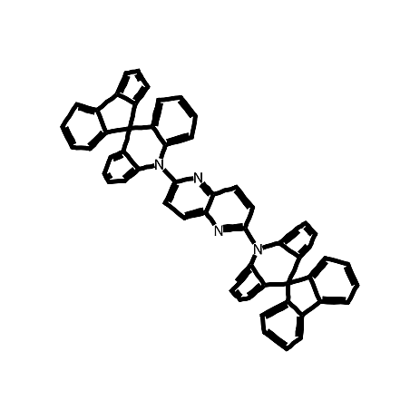 c1ccc2c(c1)-c1ccccc1C21c2ccccc2N(c2ccc3nc(N4c5ccccc5C5(c6ccccc6-c6ccccc65)c5ccccc54)ccc3n2)c2ccccc21